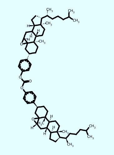 CC(C)CCC[C@@H](C)[C@H]1CC[C@H]2[C@@H]3C[C@@H]4OC45C[C@@H](c4ccc(OC(=O)Oc6ccc([C@H]7CC[C@]8(C)[C@H]9CC[C@]%10(C)[C@@H]([C@H](C)CCCC(C)C)CC[C@H]%10[C@@H]9C[C@@H]9OC98C7)cc6)cc4)CC[C@]5(C)[C@H]3CC[C@]12C